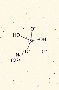 [Ca+2].[Cl-].[Na+].[O-][Si]([O-])(O)O